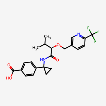 CC(C)[C@@H](OCc1ccc(C(F)(F)F)nc1)C(=O)NC1(c2ccc(C(=O)O)cc2)CC1